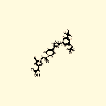 Cc1cc(CC(=O)O)nn1CC(=O)N1CCC(c2cnc(-c3cc(SC(F)(F)F)cc(C(C)(C)C)c3)s2)CC1